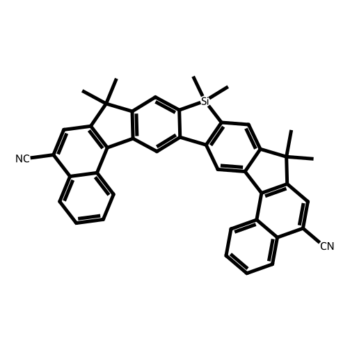 CC1(C)c2cc3c(cc2-c2c1cc(C#N)c1ccccc21)-c1cc2c(cc1[Si]3(C)C)C(C)(C)c1cc(C#N)c3ccccc3c1-2